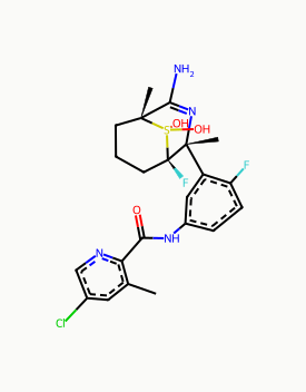 Cc1cc(Cl)cnc1C(=O)Nc1ccc(F)c([C@@]2(C)N=C(N)[C@@]3(C)CCC[C@]2(F)S3(O)O)c1